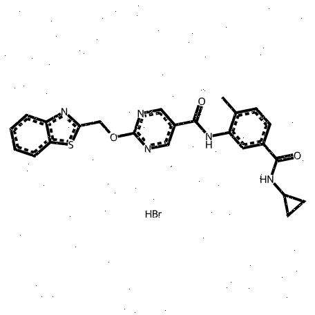 Br.Cc1ccc(C(=O)NC2CC2)cc1NC(=O)c1cnc(OCc2nc3ccccc3s2)nc1